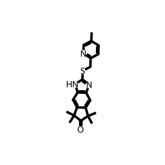 Cc1ccc(CSc2nc3cc4c(cc3[nH]2)C(C)(C)C(=O)C4(C)C)nc1